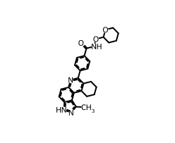 Cc1n[nH]c2ccc3nc(-c4ccc(C(=O)NOC5CCCCO5)cc4)c4c(c3c12)CCCC4